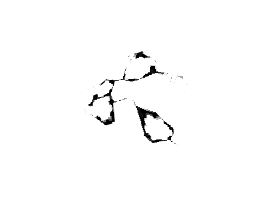 Nc1cc(-c2c[nH]c3nccc(Oc4ccc(F)cc4)c23)ncn1